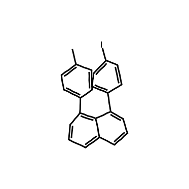 Cc1ccc(-c2cccc3cccc(-c4ccc(I)cc4)c23)cc1